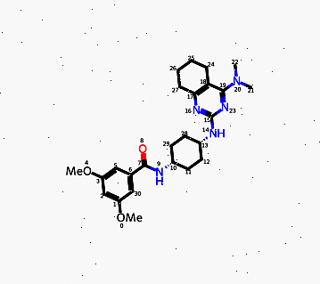 COc1cc(OC)cc(C(=O)N[C@H]2CC[C@@H](Nc3nc4c(c(N(C)C)n3)CCCC4)CC2)c1